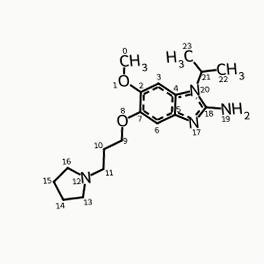 COc1cc2c(cc1OCCCN1CCCC1)nc(N)n2C(C)C